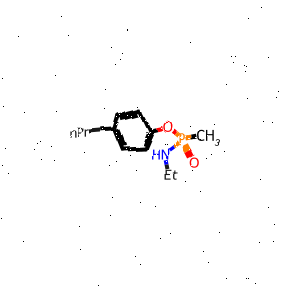 CCCc1ccc(OP(C)(=O)NCC)cc1